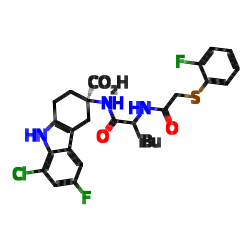 CCC(C)C(NC(=O)CSc1ccccc1F)C(=O)N[C@]1(C(=O)O)CCc2[nH]c3c(Cl)cc(F)cc3c2C1